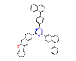 c1ccc(-c2cccc3cc(-c4nc(-c5ccc(-c6cccc7ccccc67)cc5)nc(-c5ccc6cc7oc8ccccc8c7cc6c5)n4)ccc23)cc1